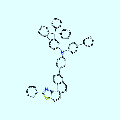 c1ccc(-c2ccc(N(c3ccc(-c4ccc5c(ccc6ccc7sc(-c8ccccc8)nc7c65)c4)cc3)c3ccc4c(c3)C(c3ccccc3)(c3ccccc3)c3ccccc3-4)cc2)cc1